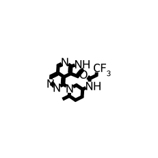 CC1CCC(NC(=O)CC(F)(F)F)CN1c1nncc2cnc3[nH]ccc3c12